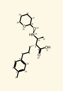 Cc1ccc(CCC[C@@H](C(=O)O)[C@H](C)NOC2CCCCO2)cc1